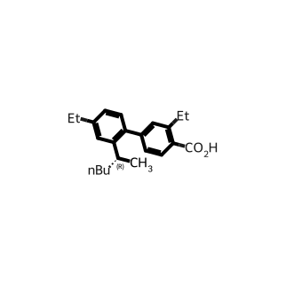 CCCC[C@@H](C)c1cc(CC)ccc1-c1ccc(C(=O)O)c(CC)c1